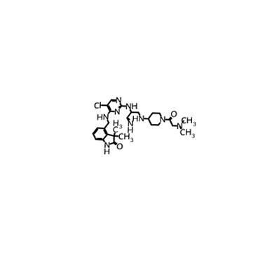 CN(C)CC(=O)N1CCC(NCC(C=N)Nc2ncc(Cl)c(NCc3cccc4c3C(C)(C)C(=O)N4)n2)CC1